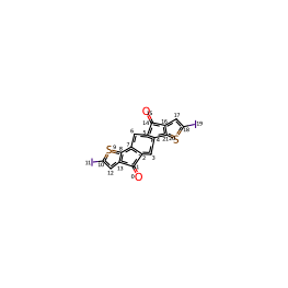 O=c1c2cc3c(cc2c2sc(I)cc12)c(=O)c1cc(I)sc13